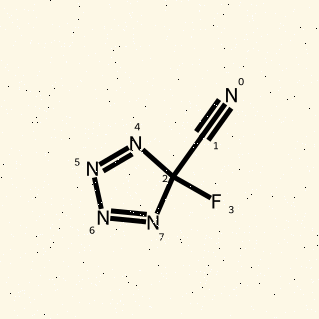 N#CC1(F)N=NN=N1